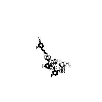 C=CCOP(=O)(OCC=C)OCc1ccc(F)cc1C(=O)O[C@@](Cn1cncn1)(c1ccc(F)cc1F)[C@@H](C)S[C@H]1CO[C@H](/C=C/C=C/c2ccc(C#N)cc2F)OC1